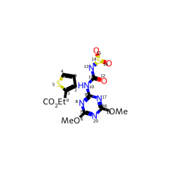 CCOC(=O)c1cccs1.COc1nc(NC(=O)N=S(=O)=O)nc(OC)n1